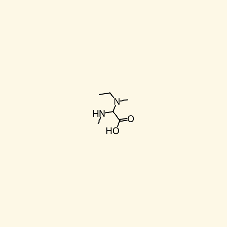 CCN(C)C(NC)C(=O)O